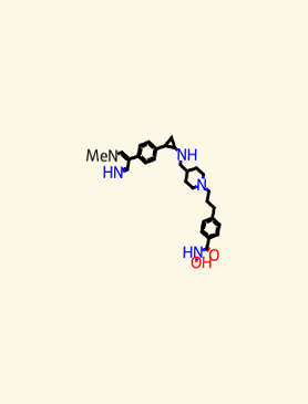 CN/C=C(\C=N)c1ccc(C2CC2NCC2CCN(CCCc3ccc(C(=O)NO)cc3)CC2)cc1